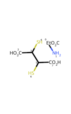 CCOC(N)=O.O=C(O)C(S)C(S)C(=O)O